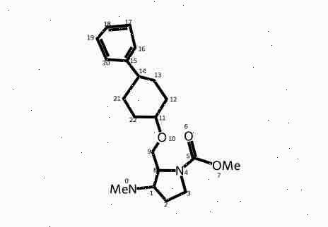 CNC1CCN(C(=O)OC)C1COC1CCC(c2ccccc2)CC1